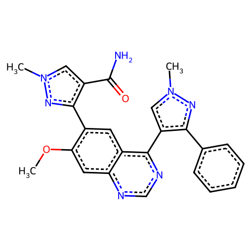 COc1cc2ncnc(-c3cn(C)nc3-c3ccccc3)c2cc1-c1nn(C)cc1C(N)=O